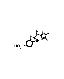 Cc1nc(Nc2nc3cc(C(=O)O)ccc3[nH]2)sc1C